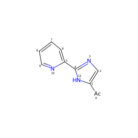 CC(=O)c1cnc(-c2ccccn2)[nH]1